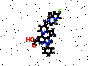 O=C(O)c1cc(N2CCC(CN3CCN4C[C@@H](F)C[C@H]4C3)CC2)c2c(C3CCC3)nn(-c3ccccc3)c2n1